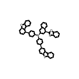 c1ccc2c(-c3nc4ccccc4o3)cc(N(c3ccc(-c4ccc5sc6ccccc6c5c4)cc3)c3ccc(-c4cccc5oc6ccccc6c45)cc3)cc2c1